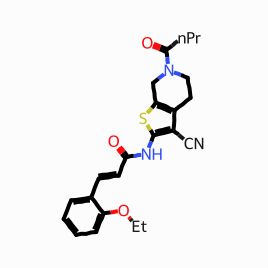 CCCC(=O)N1CCc2c(sc(NC(=O)C=Cc3ccccc3OCC)c2C#N)C1